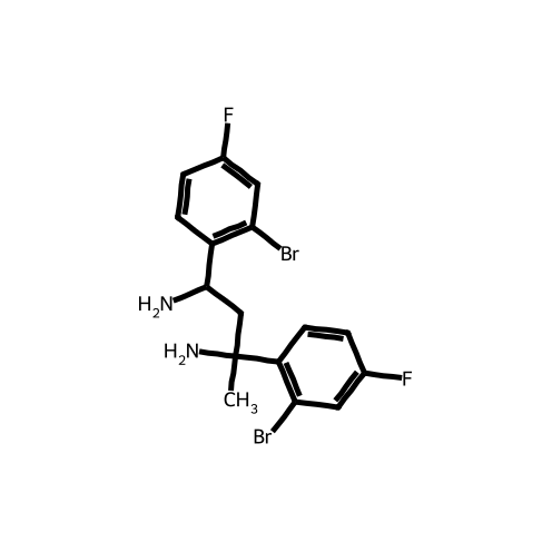 CC(N)(CC(N)c1ccc(F)cc1Br)c1ccc(F)cc1Br